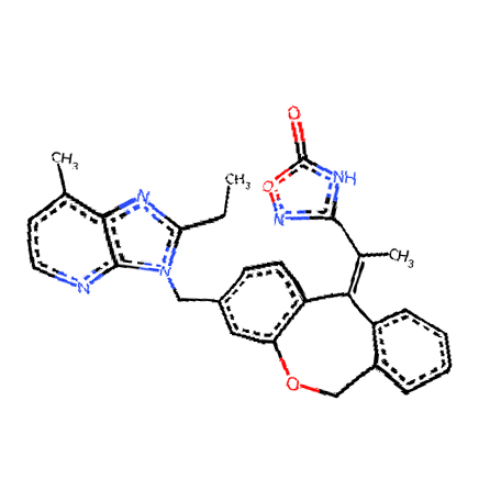 CCc1nc2c(C)ccnc2n1Cc1ccc2c(c1)OCc1ccccc1/C2=C(\C)c1noc(=O)[nH]1